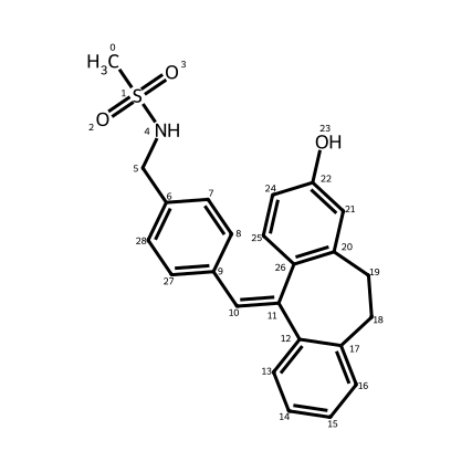 CS(=O)(=O)NCc1ccc(/C=C2/c3ccccc3CCc3cc(O)ccc32)cc1